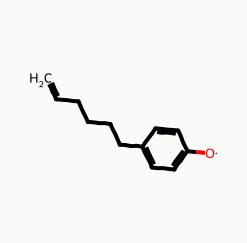 C=CCCCCc1ccc([O])cc1